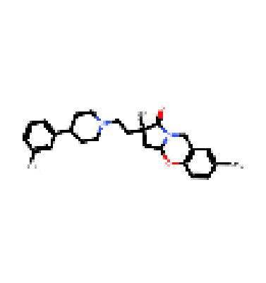 Cc1ccc2c(c1)CN1C(=O)C(CCN3CCC(c4cccc(C(=O)O)c4)CC3)(C(C)C)CC1O2